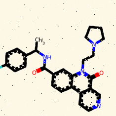 CC(NC(=O)c1ccc2c3ccncc3c(=O)n(CCN3CCCC3)c2c1)c1ccc(F)cc1